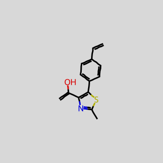 C=Cc1ccc(-c2sc(C)nc2C(=C)O)cc1